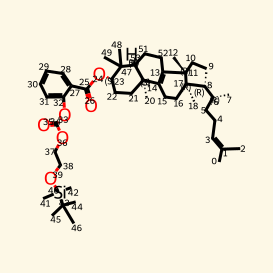 CC(C)=CCC[C@@H](C)[C@H]1CC[C@@]2(C)C3=C(CC[C@]12C)[C@@]1(C)CC[C@H](OC(=O)c2ccccc2OC(=O)OCCO[Si](C)(C)C(C)(C)C)C(C)(C)[C@@H]1CC3